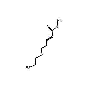 CCCCCC/C=C/C(=O)OC